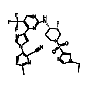 Cc1ccc(-n2cnc(-c3nc(N[C@H]4CCN(S(=O)(=O)c5cn(CI)cn5)C[C@H]4C)ncc3C(F)(F)F)c2)c(C#N)n1